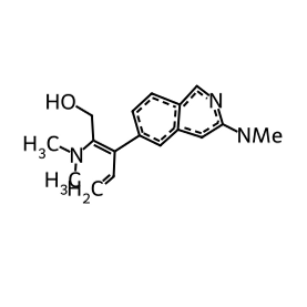 C=C/C(=C(/CO)N(C)C)c1ccc2cnc(NC)cc2c1